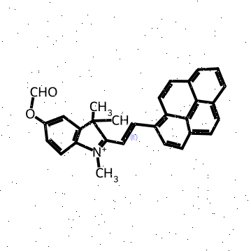 C[N+]1=C(/C=C/c2ccc3ccc4cccc5ccc2c3c45)C(C)(C)c2cc(OC=O)ccc21